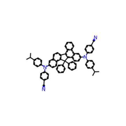 CC(C)c1ccc(N(c2ccc(C#N)cc2)c2ccc3c4c(ccc3c2)-c2c(c3ccc(N(c5ccc(C#N)cc5)c5ccc(C(C)C)cc5)cc3c3ccccc23)C4(c2ccccc2)c2ccccc2)cc1